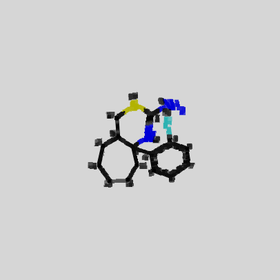 NC1=NC2(c3ccccc3F)CCCCCC2CS1